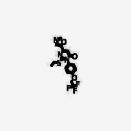 CCSc1nc(-c2cnco2)cc(=O)n1-c1ccc(OCC(F)(F)F)cc1